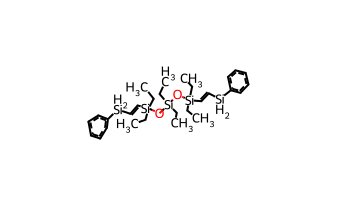 CC[Si](C=C[SiH2]c1ccccc1)(CC)O[Si](CC)(CC)O[Si](C=C[SiH2]c1ccccc1)(CC)CC